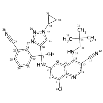 [2H]C(Nc1cc(Cl)c2ncc(C#N)c(NCC(C)(C)C)c2c1)(c1cccc(C#N)c1)c1cn(C2CC2)nn1